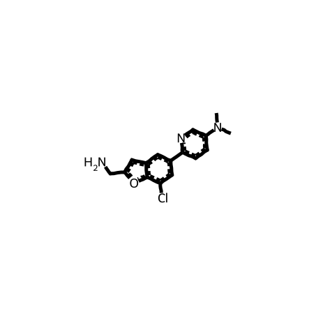 CN(C)c1ccc(-c2cc(Cl)c3oc(CN)cc3c2)nc1